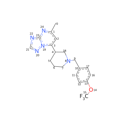 Cc1cc(C2CCCN(Cc3ccc(OC(F)(F)F)cc3)C2)n2ncnc2n1